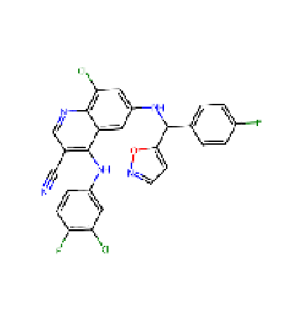 N#Cc1cnc2c(Cl)cc(NC(c3ccc(F)cc3)c3ccno3)cc2c1Nc1ccc(F)c(Cl)c1